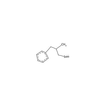 CC([CH2][SnH])Cc1ccccc1